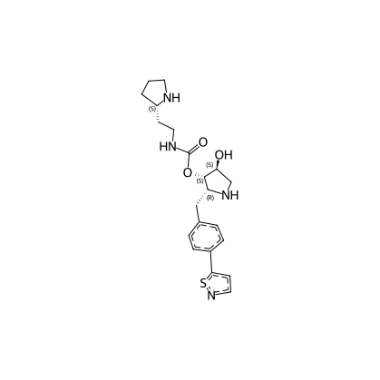 O=C(NCC[C@@H]1CCCN1)O[C@@H]1[C@@H](O)CN[C@@H]1Cc1ccc(-c2ccns2)cc1